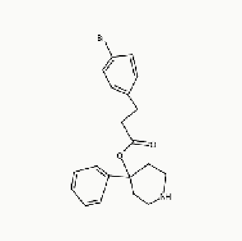 O=C(CCc1ccc(Br)cc1)OC1(c2ccccc2)CCNCC1